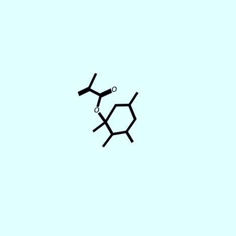 C=C(C)C(=O)OC1(C)CC(C)CC(C)C1C